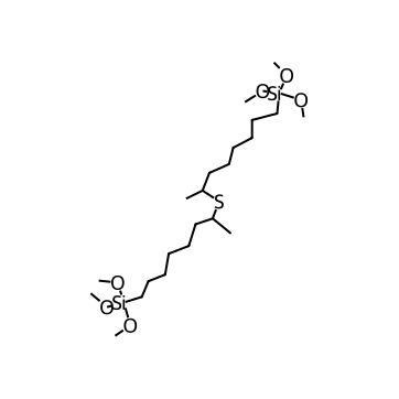 CO[Si](CCCCCCC(C)SC(C)CCCCCC[Si](OC)(OC)OC)(OC)OC